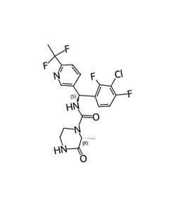 C[C@@H]1C(=O)NCCN1C(=O)N[C@@H](c1ccc(C(C)(F)F)nc1)c1ccc(F)c(Cl)c1F